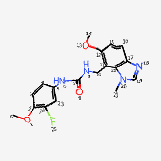 COc1ccc(NC(=O)NCc2c(OC)ccc3ncn(C)c23)cc1F